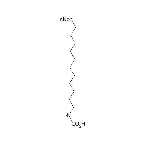 CCCCCCCCCCCCCCCCCCCC[N]C(=O)O